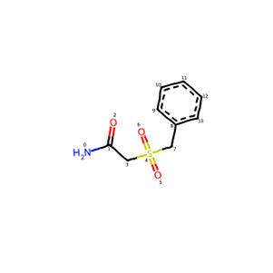 NC(=O)CS(=O)(=O)Cc1ccccc1